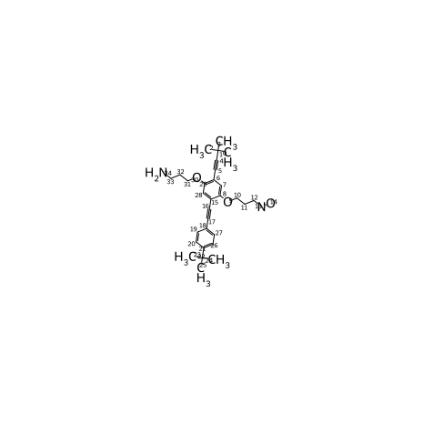 CC(C)(C)C#Cc1cc(OCCCN=O)c(C#Cc2ccc(C(C)(C)C)cc2)cc1OCCCN